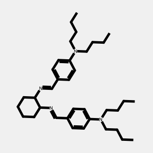 CCCCN(CCCC)c1ccc(C=NC2CCCCC2N=Cc2ccc(N(CCCC)CCCC)cc2)cc1